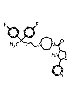 CC(OCCN1CCCN(C(=O)C2CSC(c3cccnc3)N2)CC1)(c1ccc(F)cc1)c1ccc(F)cc1